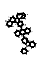 c1ccc(-n2c3ccccc3c3cc(-c4c5ccccc5c(-c5ccc6c(c5)-c5c(ccc7ccccc57)C65C6CC7CC(C6)CC5C7)c5ccccc45)ccc32)cc1